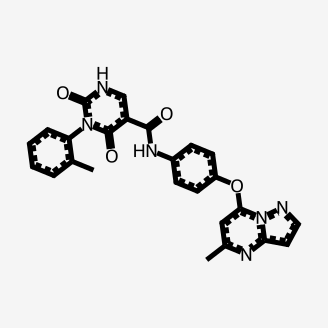 Cc1cc(Oc2ccc(NC(=O)c3c[nH]c(=O)n(-c4ccccc4C)c3=O)cc2)n2nccc2n1